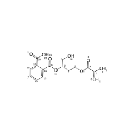 C=C(C)C(=O)OCCC(CO)OC(=O)c1ccccc1C(=O)O